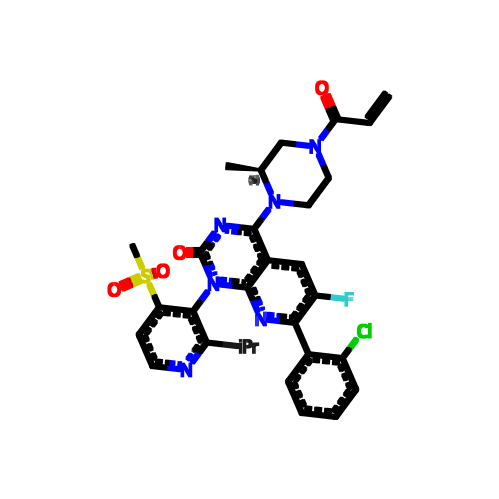 C=CC(=O)N1CCN(c2nc(=O)n(-c3c(S(C)(=O)=O)ccnc3C(C)C)c3nc(-c4ccccc4Cl)c(F)cc23)[C@@H](C)C1